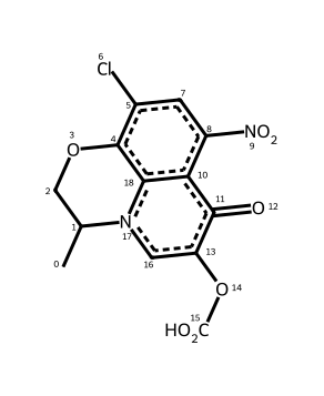 CC1COc2c(Cl)cc([N+](=O)[O-])c3c(=O)c(OC(=O)O)cn1c23